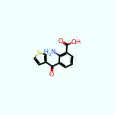 Nc1c(C(=O)O)cccc1C(=O)c1ccsc1